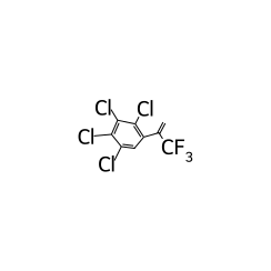 C=C(c1cc(Cl)c(Cl)c(Cl)c1Cl)C(F)(F)F